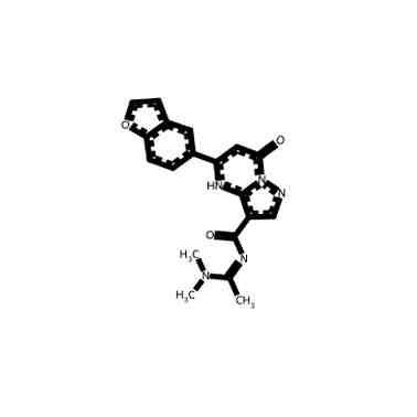 C/C(=N/C(=O)c1cnn2c(=O)cc(-c3ccc4occc4c3)[nH]c12)N(C)C